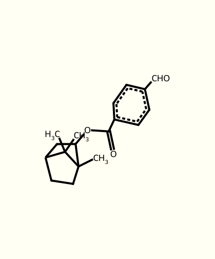 CC1(C)C2CCC1(C)C(OC(=O)c1ccc(C=O)cc1)C2